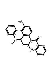 COc1ccc2c(c1)C(N(C(C)=O)c1ccccc1)CC(C)N2C(=O)c1ccccc1